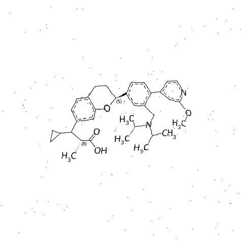 COc1cc(-c2ccc([C@@H]3CCc4ccc(C(C5CC5)[C@@H](C)C(=O)O)cc4O3)cc2CN(C(C)C)C(C)C)ccn1